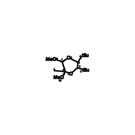 COC1OC(C(C)(C)C)C(C(C)(C)C)O[C@@]1(C)OC